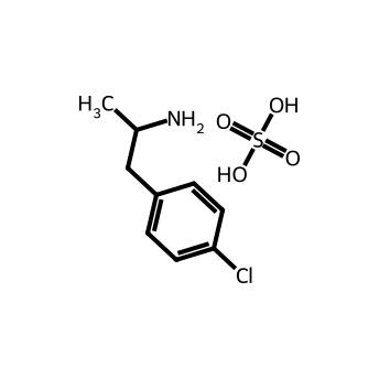 CC(N)Cc1ccc(Cl)cc1.O=S(=O)(O)O